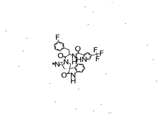 C#[N+][C@@H]1C[C@@]2(CN1C(=O)C(Cc1cccc(F)c1)NC(=O)c1cc(C(F)(F)F)c[nH]1)C(=O)Nc1ccccc12